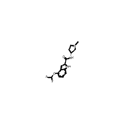 CN1CC[C@@H](NC(=O)c2cc3c(OC(F)F)cccc3[nH]2)C1